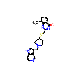 Cc1cccc2c(=O)[nH]c(CSC3CCN(Cc4c[nH]c5ccncc45)CC3)nc12